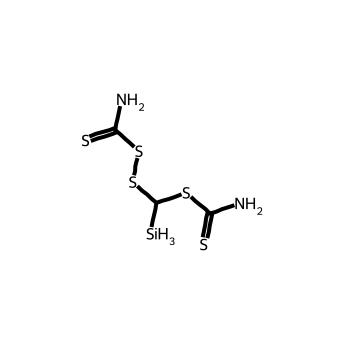 NC(=S)SSC([SiH3])SC(N)=S